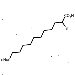 CCCCCCCCCCCCCCCCCCC(Br)C(=O)O